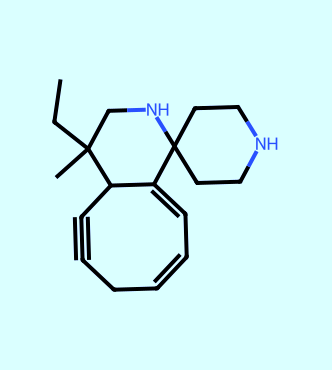 CCC1(C)CNC2(CCNCC2)/C2=C/C=C\CC#CC21